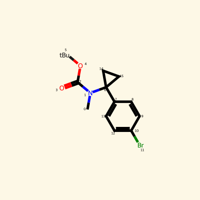 CN(C(=O)OC(C)(C)C)C1(c2ccc(Br)cc2)CC1